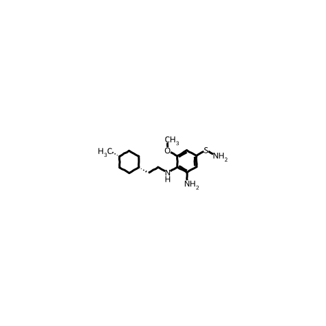 COc1cc(SN)cc(N)c1NCC[C@H]1CC[C@@H](C)CC1